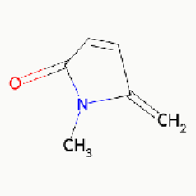 C=C1C=CC(=O)N1C